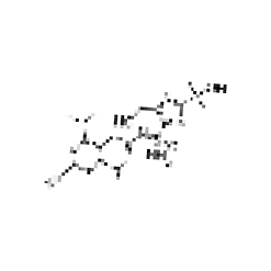 C#Cc1cc(C(C)C)c2c(c1)C(C)C=C(N=S(N)(=O)c1sc(C(C)(C)O)nc1CO)C2